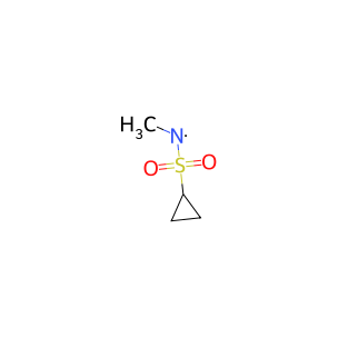 C[N]S(=O)(=O)C1CC1